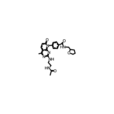 CC(=O)NCCNc1nc(C)c2ccc(=O)n(-c3ccc(C(=O)NCC4CCCO4)cc3)c2n1